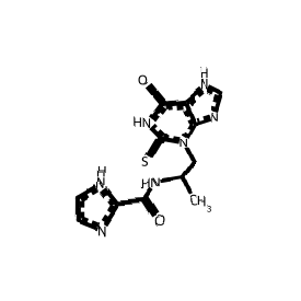 CC(Cn1c(=S)[nH]c(=O)c2[nH]cnc21)NC(=O)c1ncc[nH]1